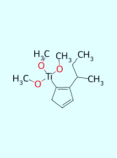 CCC(C)C1=[C]([Ti]([O]C)([O]C)[O]C)CC=C1